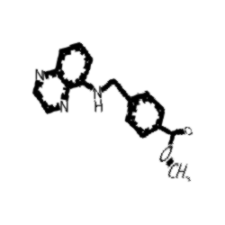 COC(=O)c1ccc(CNc2cccc3nccnc23)cc1